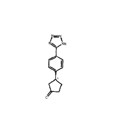 O=C1CC[C@H](c2ccc(-c3nnn[nH]3)cc2)C1